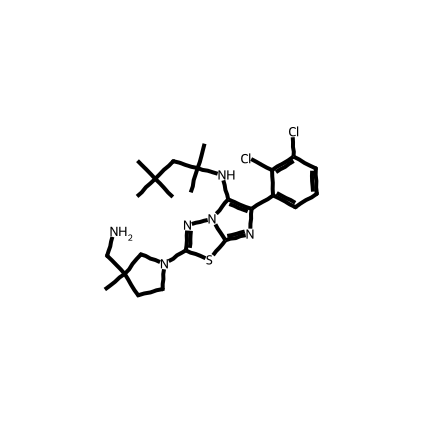 CC(C)(C)CC(C)(C)Nc1c(-c2cccc(Cl)c2Cl)nc2sc(N3CCC(C)(CN)C3)nn12